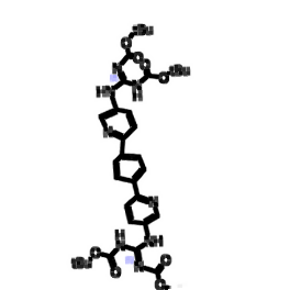 CC(C)(C)OC(=O)/N=C(\NC(=O)OC(C)(C)C)Nc1ccc(-c2ccc(-c3ccc(N/C(=N\C(=O)OC(C)(C)C)NC(=O)OC(C)(C)C)cn3)cc2)nc1